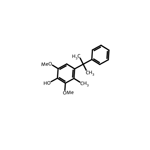 COc1cc(C(C)(C)c2ccccc2)c(C)c(OC)c1O